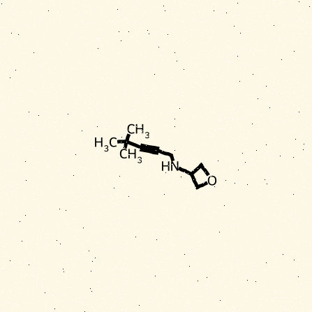 CC(C)(C)C#CCNC1COC1